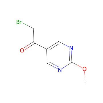 COc1ncc(C(=O)CBr)cn1